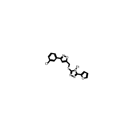 CCn1c(SCc2cc(-c3cccc(Cl)c3)no2)nnc1-c1ccco1